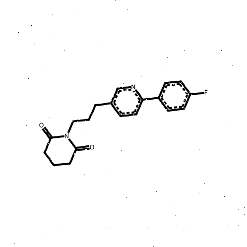 O=C1CCCC(=O)N1CCCc1ccc(-c2ccc(F)cc2)nc1